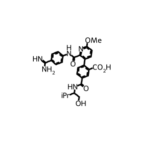 COc1ccc(-c2ccc(C(=O)NC(CO)C(C)C)cc2C(=O)O)c(C(=O)Nc2ccc(C(=N)N)cc2)n1